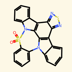 O=S1(=O)c2ccccc2-n2c3ccccc3c3c4nsnc4c4c5ccccc5n1c4c32